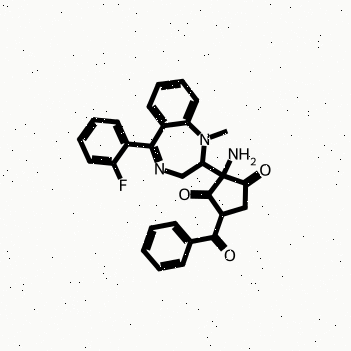 CN1c2ccccc2C(c2ccccc2F)=NCC1C1(N)C(=O)CC(C(=O)c2ccccc2)C1=O